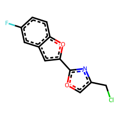 Fc1ccc2oc(-c3nc(CCl)co3)cc2c1